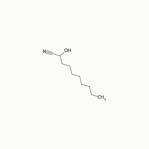 CCCCCCCCC(O)C#N